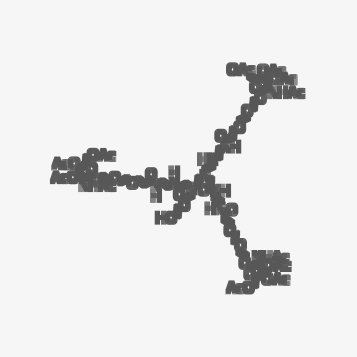 CC(=O)NC1C(OCCOCCOCCC(=O)NCCNCCN(CCN(CCOCCO)CC(=O)NCCNC(=O)CCOCCOCCOC2OC(COC(C)=O)C(OC(C)=O)C(OC(C)=O)C2NC(C)=O)CC(=O)NCCNC(=O)CCOCCOCCOC2OC(COC(C)=O)C(OC(C)=O)C(OC(C)=O)C2NC(C)=O)OC(COC(C)=O)C(OC(C)=O)C1OC(C)=O